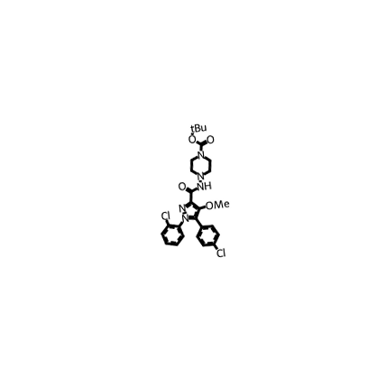 COc1c(C(=O)NN2CCN(C(=O)OC(C)(C)C)CC2)nn(-c2ccccc2Cl)c1-c1ccc(Cl)cc1